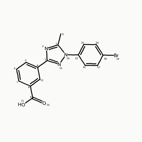 Cc1nc(-c2cccc(C(=O)O)c2)nn1-c1ccc(Br)cc1